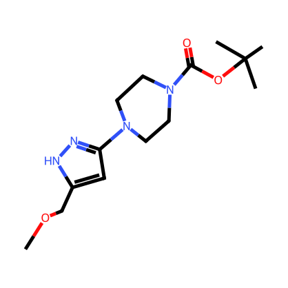 COCc1cc(N2CCN(C(=O)OC(C)(C)C)CC2)n[nH]1